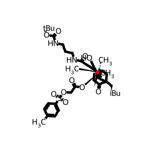 CC[C@H](C)CC12C[C@]3(CCC1=O)[C@@H](C)C(O)[C@@](C)(C(=O)NCCCNC(=O)OC(C)(C)C)C[C@@H](OC(=O)COS(=O)(=O)c1ccc(C)cc1)CC23C